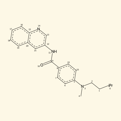 CC(C)CCN(C)c1ccc(C(=O)Nc2cnc3ccccc3c2)cc1